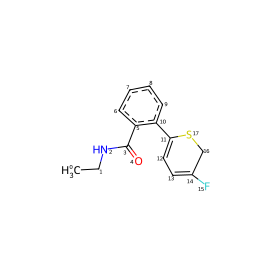 CCNC(=O)c1ccccc1C1=CC=C(F)CS1